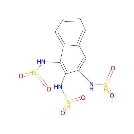 O=[SH](=O)Nc1cc2ccccc2c(N[SH](=O)=O)c1N[SH](=O)=O